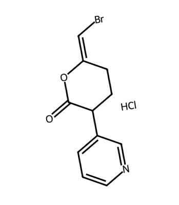 Cl.O=C1OC(=CBr)CCC1c1cccnc1